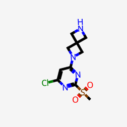 CS(=O)(=O)c1nc(Cl)cc(N2CC3(CNC3)C2)n1